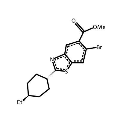 CC[C@H]1CC[C@H](c2nc3cc(C(=O)OC)c(Br)cc3s2)CC1